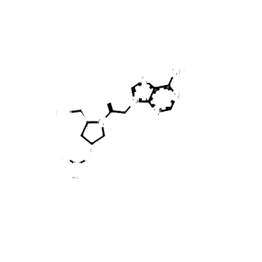 Nc1ncnc2c1ncn2CC(=O)N1C[C@H](O[PH](=O)O)C[C@H]1CO